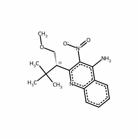 COC[C@H](c1nc2ccccc2c(N)c1[N+](=O)[O-])C(C)(C)C